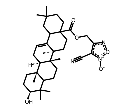 CC1(C)CCC2(C(=O)OCc3no[n+]([O-])c3C#N)CC[C@]3(C)C(=CC[C@@H]4[C@@]5(C)CC[C@H](O)C(C)(C)C5CC[C@]43C)C2C1